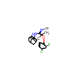 CC(C)(Oc1ccc(Cl)cc1F)/C(=N\C#N)NC12CC3CC(CC(C3)C1)C2